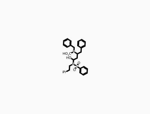 CC(C)CCN(C(O)CC(Cc1ccccc1)N(Cc1ccccc1)C(=O)O)S(=O)(=O)c1ccccc1